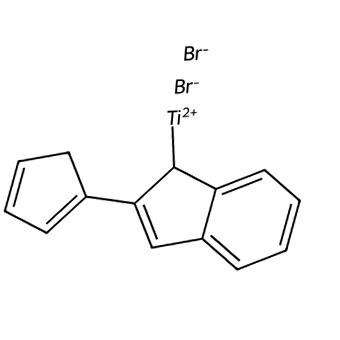 [Br-].[Br-].[Ti+2][CH]1C(C2=CC=CC2)=Cc2ccccc21